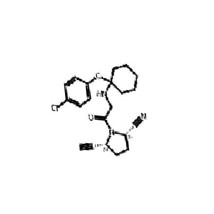 C#C[C@H]1CC[C@@H](C#N)N1C(=O)CNC1(Oc2ccc(Cl)cc2)CCCCC1